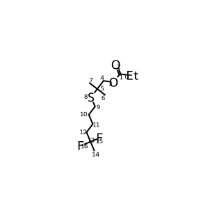 CCC(=O)OCC(C)(C)SCCCCC(C)(F)F